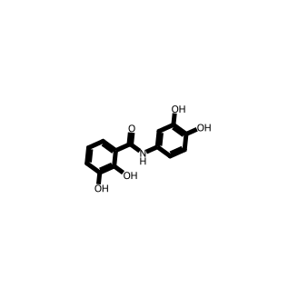 O=C(Nc1ccc(O)c(O)c1)c1cccc(O)c1O